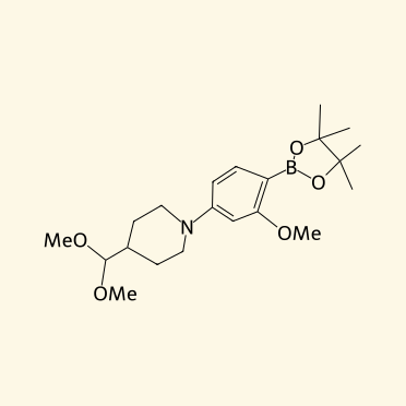 COc1cc(N2CCC(C(OC)OC)CC2)ccc1B1OC(C)(C)C(C)(C)O1